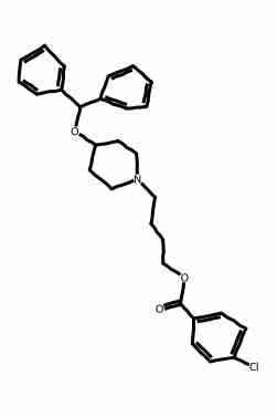 O=C(OCCCCN1CCC(OC(c2ccccc2)c2ccccc2)CC1)c1ccc(Cl)cc1